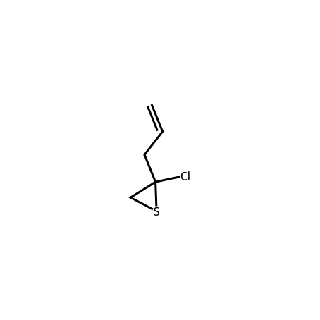 C=CCC1(Cl)CS1